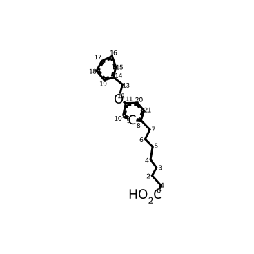 O=C(O)CCCCCCCc1ccc(OCc2ccccc2)cc1